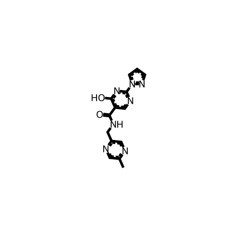 Cc1cnc(CNC(=O)c2cnc(-n3cccn3)nc2O)cn1